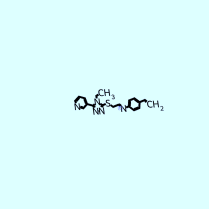 C=Cc1ccc(/N=C/CSc2nnc(-c3cccnc3)n2CC)cc1